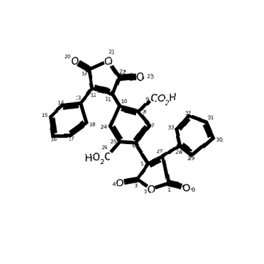 O=C1OC(=O)C(c2cc(C(=O)O)c(C3=C(c4ccccc4)C(=O)OC3=O)cc2C(=O)O)=C1c1ccccc1